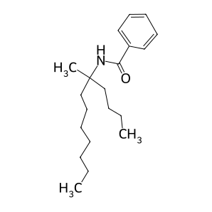 CCCCCCCC(C)(CCCC)NC(=O)c1ccccc1